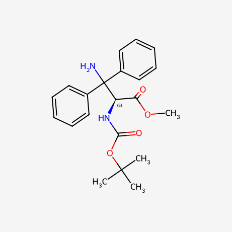 COC(=O)[C@@H](NC(=O)OC(C)(C)C)C(N)(c1ccccc1)c1ccccc1